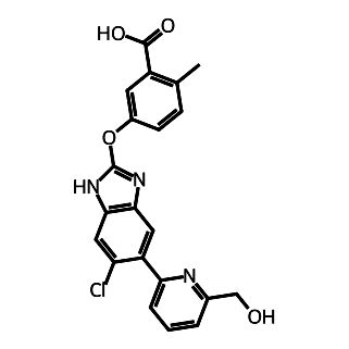 Cc1ccc(Oc2nc3cc(-c4cccc(CO)n4)c(Cl)cc3[nH]2)cc1C(=O)O